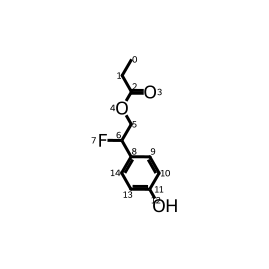 CCC(=O)OCC(F)c1ccc(O)cc1